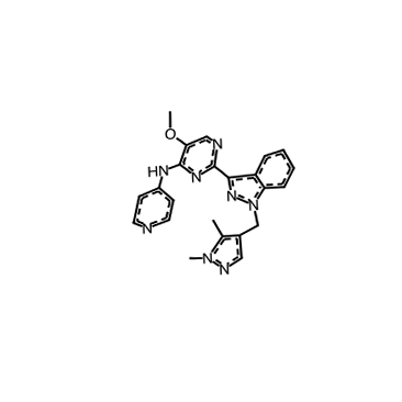 COc1cnc(-c2nn(Cc3cnn(C)c3C)c3ccccc23)nc1Nc1ccncc1